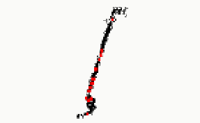 CC(C)CCC[C@@H](C)[C@H]1CCC2C3CC=C4CC(OCCOCCOCCOCCOCCOCCOCCOCCOCCOCCOCCOCCNC(=O)CSC[C@H](N)C(=O)O)CC[C@]4(C)C3CC[C@@]21C